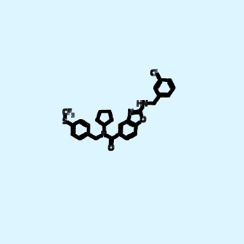 O=C(c1ccc2oc(NCc3cccc(Cl)c3)nc2c1)N(Cc1ccc(SC(F)(F)F)cc1)C1CCCC1